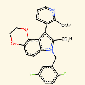 COc1ncccc1-c1c(C(=O)O)n(Cc2cc(F)ccc2F)c2ccc3c(c12)OCCO3